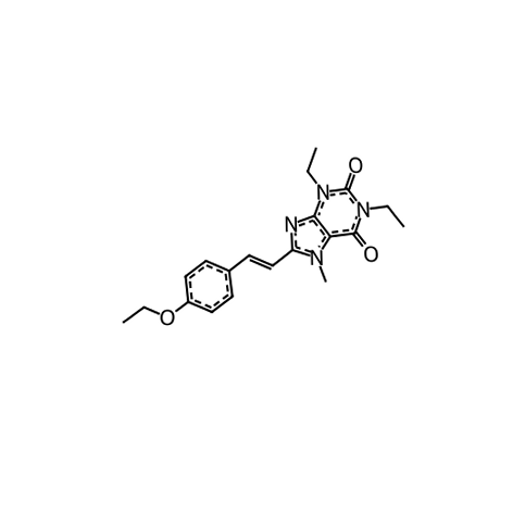 CCOc1ccc(/C=C/c2nc3c(c(=O)n(CC)c(=O)n3CC)n2C)cc1